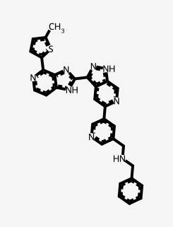 Cc1ccc(-c2nccc3[nH]c(-c4n[nH]c5cnc(-c6cncc(CNCc7ccccc7)c6)cc45)nc23)s1